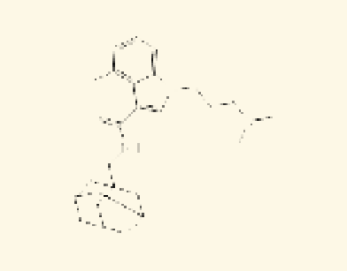 CN(C)CCCn1cc(C(=O)NCC23CC4CC(CC(C4)C2)C3)c2c(Cl)cccc21